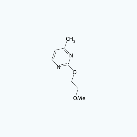 COCCOc1nccc(C)n1